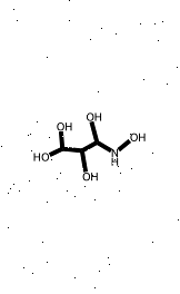 ONC(O)C(O)C(O)O